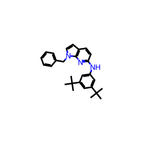 CC(C)(C)c1cc(Nc2ccc3ccn(Cc4ccccc4)c3n2)cc(C(C)(C)C)c1